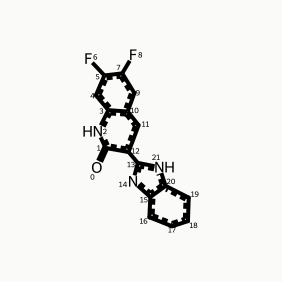 O=c1[nH]c2cc(F)c(F)cc2cc1-c1nc2ccccc2[nH]1